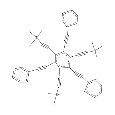 C[Si](C)(C)C#Cc1c(C#Cc2ccccc2)c(C#C[Si](C)(C)C)c(C#Cc2ccccc2)c(C#C[Si](C)(C)C)c1C#Cc1ccccc1